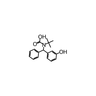 CC(C)(C)N(C(=O)O)C(c1ccccc1)c1cccc(O)c1